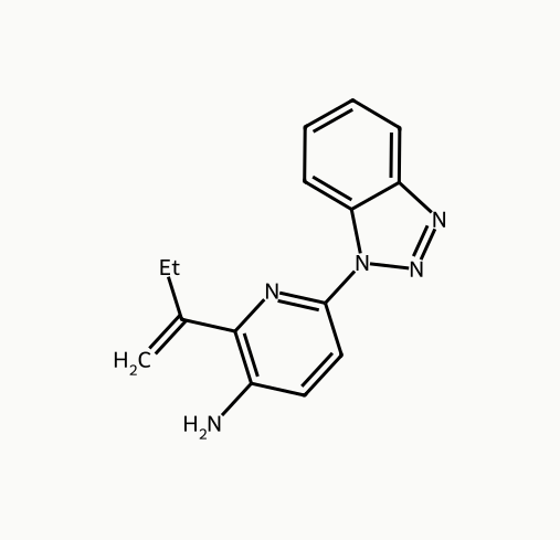 C=C(CC)c1nc(-n2nnc3ccccc32)ccc1N